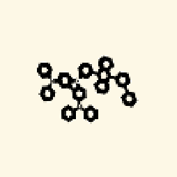 c1ccc(-c2cccc(-c3c4ccccc4c(-c4cccc(-n5c6ccc(N(c7ccccc7)c7ccccc7)cc6c6cc(N(c7ccccc7)c7ccccc7)ccc65)c4)c4ccccc34)c2)cc1